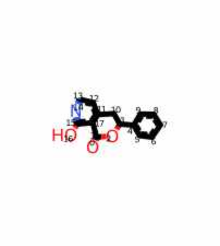 O=C1OC(c2ccccc2)Cc2ccnc(O)c21